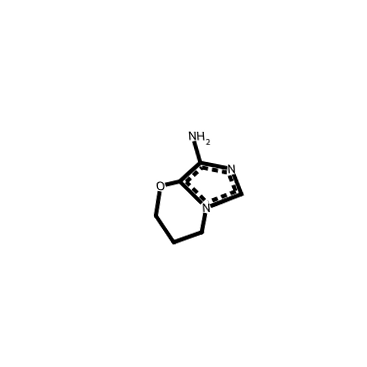 Nc1ncn2c1OCCC2